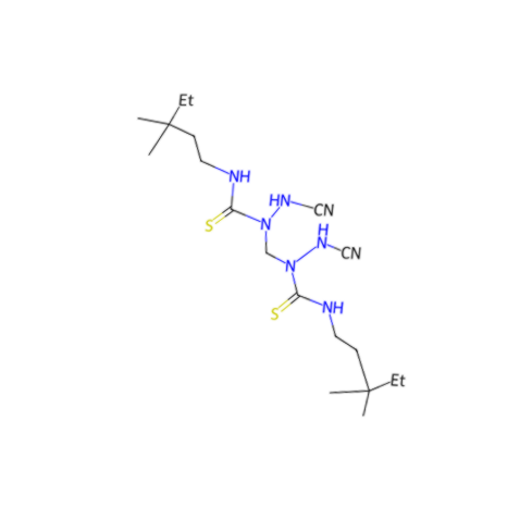 CCC(C)(C)CCNC(=S)N(CN(NC#N)C(=S)NCCC(C)(C)CC)NC#N